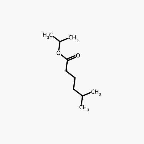 CC(C)CC[CH]C(=O)OC(C)C